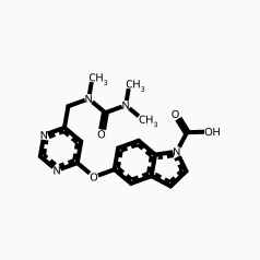 CN(C)C(=O)N(C)Cc1cc(Oc2ccc3c(ccn3C(=O)O)c2)ncn1